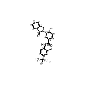 Cc1cc(C(F)(C(F)(F)F)C(F)(F)F)ccc1NC(=O)c1ccc(C)c(N2Cc3ccccc3C2=O)c1